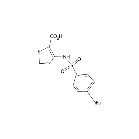 CCC(C)c1ccc(S(=O)(=O)Nc2ccsc2C(=O)O)cc1